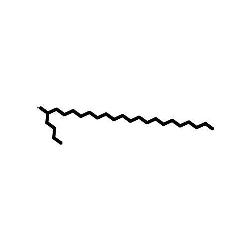 [CH2]C(CCCC)CCCCCCCCCCCCCCCCCCCC